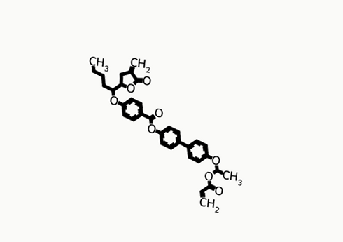 C=CC(=O)OC(C)Oc1ccc(-c2ccc(OC(=O)c3ccc(OC(CCCC)C4CC(=C)C(=O)O4)cc3)cc2)cc1